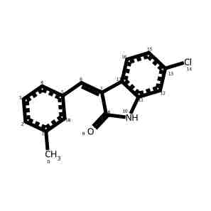 Cc1cccc(C=C2C(=O)Nc3cc(Cl)ccc32)c1